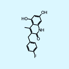 Cc1c(Cc2ccc(F)cc2)c(=O)[nH]c2cc(O)cc(O)c12